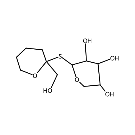 OCC1(SC2OCC(O)C(O)C2O)CCCCO1